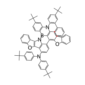 CC(C)(C)c1ccc(N(c2ccc(C(C)(C)C)cc2)c2ccc3c4c2c2oc5ccccc5c2n4B2c4ccc(C(C)(C)C)cc4N(c4ccc(C(C)(C)C)cc4-c4ccccc4)c4cc5c(oc6ccccc65)c-3c42)cc1